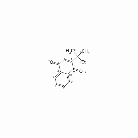 CCC(C)(C)C1=CC(=O)c2ccccc2C1=O